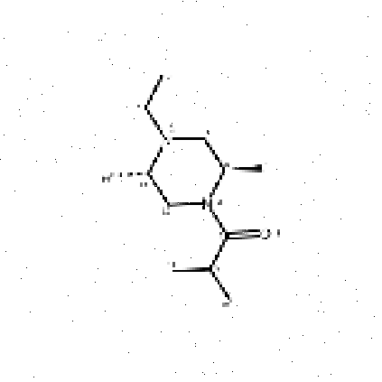 CCN1C[C@@H](C)N(C(=O)C(C)C)C[C@@H]1C